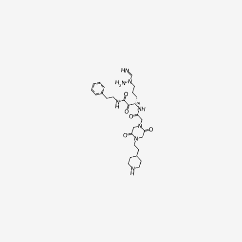 N=CN(N)CCC[C@H](NC(=O)CN1CC(=O)N(CCC2CCNCC2)CC1=O)C(=O)C(=O)NCCc1ccccc1